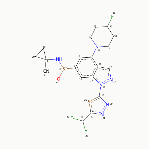 N#CC1(N[S+]([O-])c2cc(N3CCC(F)CC3)c3cnn(-c4nnc(C(F)F)s4)c3c2)CC1